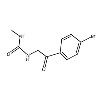 CPC(=O)NCC(=O)c1ccc(Br)cc1